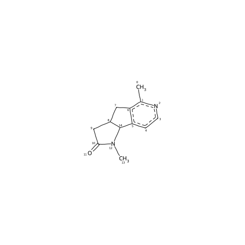 Cc1nccc2c1CC1CC(=O)N(C)C21